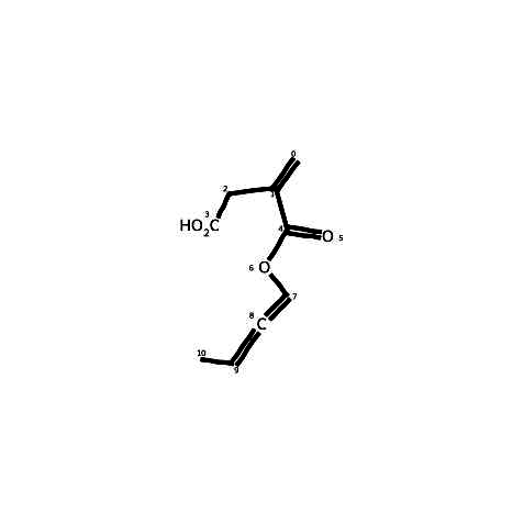 C=C(CC(=O)O)C(=O)OC=C=CC